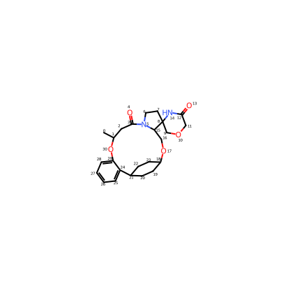 CC1CC(=O)N2CCC3(COCC(=O)N3)C2COC2CCC(CC2)c2ccccc2O1